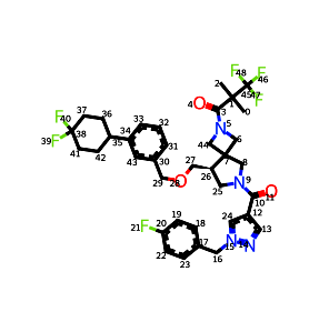 CC(C)(C(=O)N1CC2(CN(C(=O)c3cnn(Cc4ccc(F)cc4)c3)C[C@H]2COCc2cccc(C3CCC(F)(F)CC3)c2)C1)C(F)(F)F